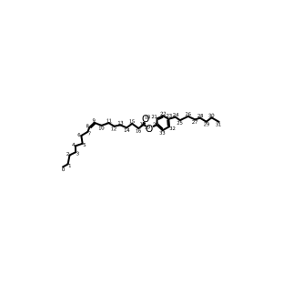 CCCCCCCC/C=C\CCCCCCCC(=O)Oc1ccc(CCCCCCCC)cc1